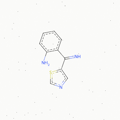 N=C(c1cncs1)c1ccccc1N